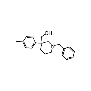 Cc1ccc(C2(CO)CCCN(Cc3ccccc3)C2)cc1